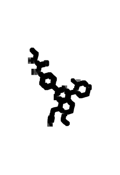 CCNC(=O)Nc1ccc(-c2nc3c(c(N4CCOC[C@@H]4C)n2)CCN(CC)C3CC#N)cc1